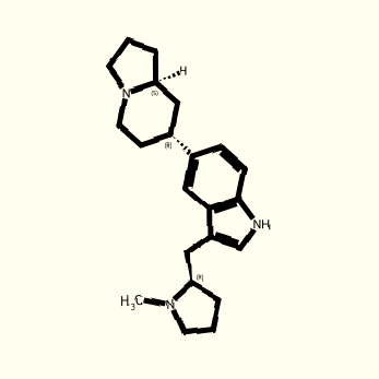 CN1CCC[C@@H]1Cc1c[nH]c2ccc([C@@H]3CCN4CCC[C@H]4C3)cc12